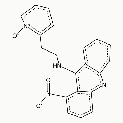 O=[N+]([O-])c1cccc2nc3ccccc3c(NCCc3cccc[n+]3[O-])c12